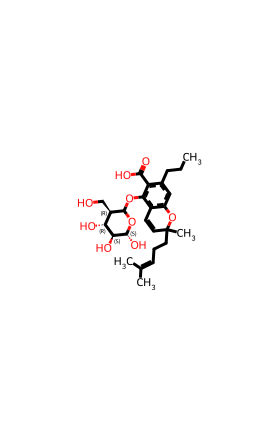 CCCc1cc2c(c(OC3O[C@H](O)[C@@H](O)[C@H](O)[C@H]3CO)c1C(=O)O)C=CC(C)(CCC=C(C)C)O2